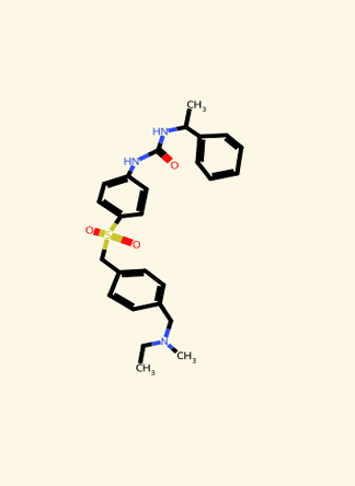 CCN(C)Cc1ccc(CS(=O)(=O)c2ccc(NC(=O)NC(C)c3ccccc3)cc2)cc1